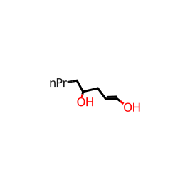 CCCCC(O)CC=CO